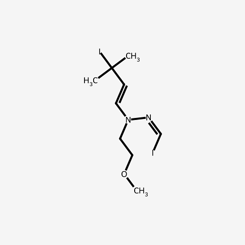 COCCN(/C=C/C(C)(C)I)/N=C\I